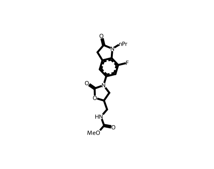 CCCN1C(=O)Cc2cc(N3CC(CNC(=O)OC)OC3=O)cc(F)c21